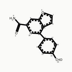 NC(=O)c1cc2occc2c(-c2ccc(C=O)cc2)n1